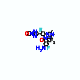 CC1CN(c2cc(F)c(-c3cnc(N4CCOCC4)nc3)cc2NC(=O)c2cc(N)c(F)cc2C(F)(F)F)CC(C)N1C